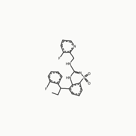 CCC(c1ccccc1F)c1cccc2c1NC(NCc1ncccc1F)=NS2(=O)=O